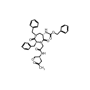 CC(=O)C[C@@H](C=O)NC(=O)CN1C(=O)[C@@H](NC(=O)OCc2ccccc2)CN(Cc2ccccc2)C(=O)[C@@H]1Cc1ccccc1